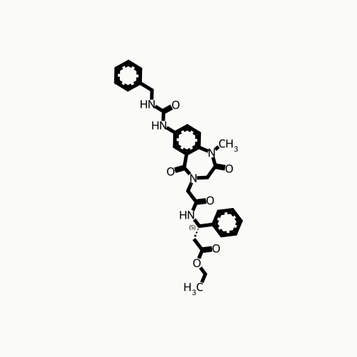 CCOC(=O)C[C@H](NC(=O)CN1CC(=O)N(C)c2ccc(NC(=O)NCc3ccccc3)cc2C1=O)c1ccccc1